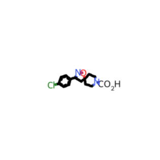 O=C(O)N1CCC2(CC1)CC(c1ccc(Cl)cc1)=NO2